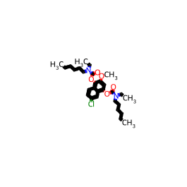 CCCCCCN(CC)C(=O)Oc1cc(OC)c(OC(=O)N(CC)CCCCCC)c2ccc(Cl)cc12